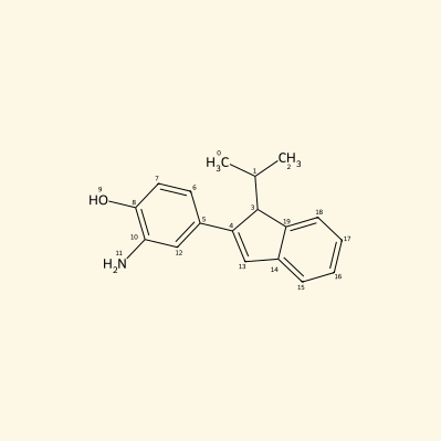 CC(C)C1C(c2ccc(O)c(N)c2)=Cc2ccccc21